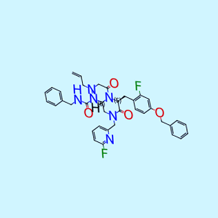 C=CCN1CC(=O)N2[C@@H](Cc3ccc(OCc4ccccc4)cc3F)C(=O)N(Cc3cccc(F)n3)C[C@@H]2N1C(=O)NCc1ccccc1